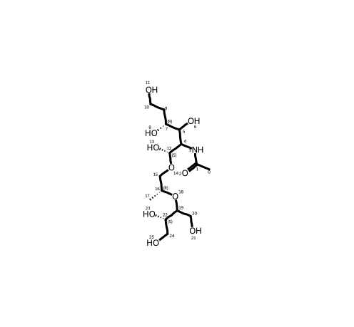 CC(=O)NC(C(O)[C@H](O)CCO)[C@@H](O)OC[C@@H](C)OC(CO)[C@@H](O)CO